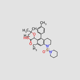 Cc1ccc(-c2c3c(cc(C)c2C(OC(C)(C)C)C(=O)O)N([S+]([O-])N2CCCCC2)CCC3)cc1